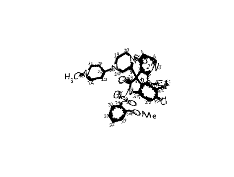 CCOc1ncccc1C1(C2CN(C3CCN(C)CC3)CCN2C(=O)O)C(=O)N(S(=O)(=O)c2ccccc2OC)c2cc(Cl)c(F)cc21